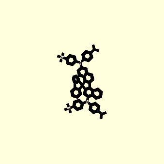 CC(C)c1ccc(N(c2ccc([Si](C)(C)C)cc2)c2ccc3c4c(ccc3c2)-c2c(cc(N(c3ccc(C(C)C)cc3)c3ccc([Si](C)(C)C)cc3)c3ccccc23)C42c3ccccc3-c3ccccc32)cc1